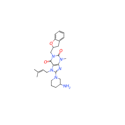 CC(C)=CCn1c(N2CCCC(N)C2)nc2c1c(=O)n(CC1Cc3ccccc3O1)c(=O)n2C